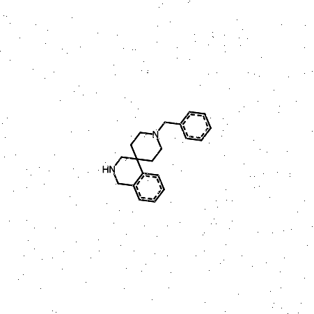 c1ccc(CN2CCC3(CC2)CNCc2ccccc23)cc1